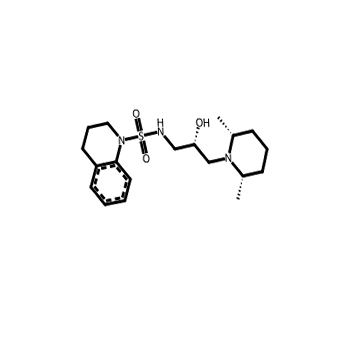 C[C@@H]1CCC[C@H](C)N1C[C@@H](O)CNS(=O)(=O)N1CCCc2ccccc21